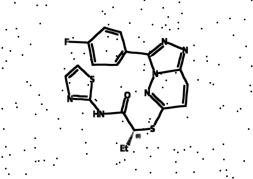 CC[C@@H](Sc1ccc2nnc(-c3ccc(F)cc3)n2n1)C(=O)Nc1nccs1